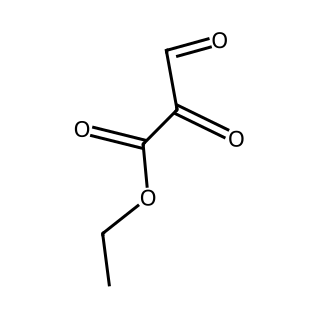 CCOC(=O)C(=O)C=O